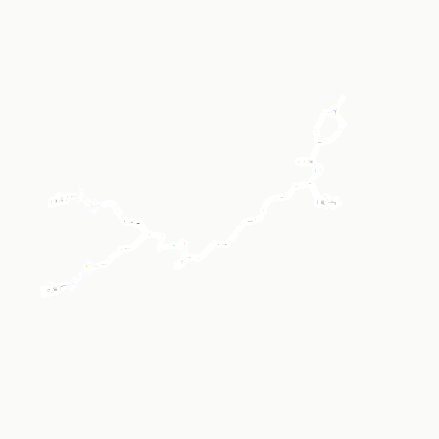 C=C(CCCCCCCCC(CCCCCCCCCC)OC(=C)C1CCN(C)CC1)OCCC(CCCSSCCCC)CCCSSCCCC